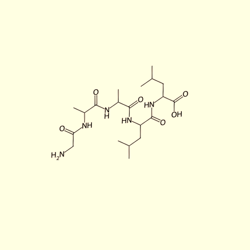 CC(C)CC(NC(=O)C(CC(C)C)NC(=O)C(C)NC(=O)C(C)NC(=O)CN)C(=O)O